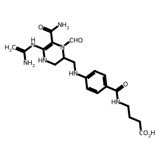 C=C(N)NC1=C(C(N)=O)N(C=O)C(CNc2ccc(C(=O)NCCCC(=O)O)cc2)CN1